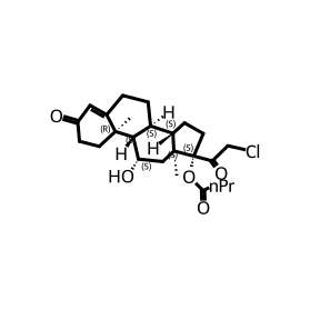 CCCC(=O)O[C@@]1(C(=O)CCl)CC[C@H]2[C@@H]3CCC4=CC(=O)CC[C@]4(C)[C@H]3[C@@H](O)C[C@@]21C